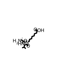 CC(C)[C@@H](NC(=O)[C@@H](C)N)C(=O)NCCCCCCCC(=O)O